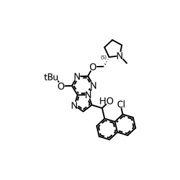 CN1CCC[C@H]1COc1nc(OC(C)(C)C)c2ncc(C(O)c3cccc4cccc(Cl)c34)n2n1